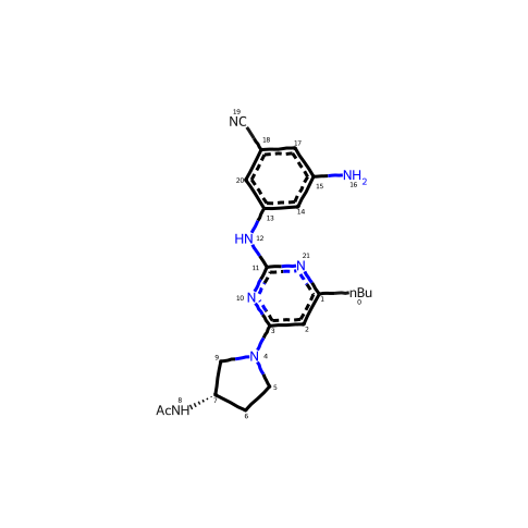 CCCCc1cc(N2CC[C@H](NC(C)=O)C2)nc(Nc2cc(N)cc(C#N)c2)n1